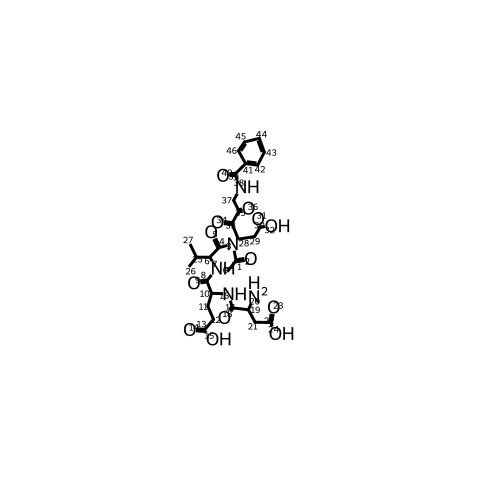 CC(=O)N(C(=O)C(NC(=O)C(CCC(=O)O)NC(=O)C(N)CC(=O)O)C(C)C)C(CC(=O)O)C(=O)C(=O)CNC(=O)c1ccccc1